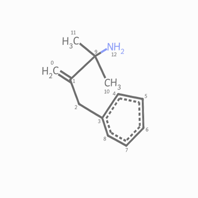 C=C(Cc1ccccc1)C(C)(C)N